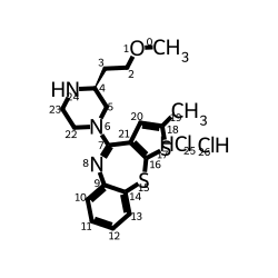 COCC[C@H]1CN(C2=Nc3ccccc3Sc3sc(C)cc32)CCN1.Cl.Cl